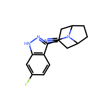 N#CN1C2CCC1CC(c1n[nH]c3cc(F)ccc13)C2